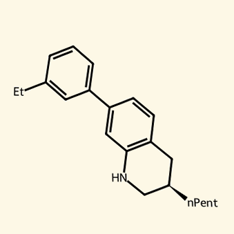 CCCCC[C@H]1CNc2cc(-c3cccc(CC)c3)ccc2C1